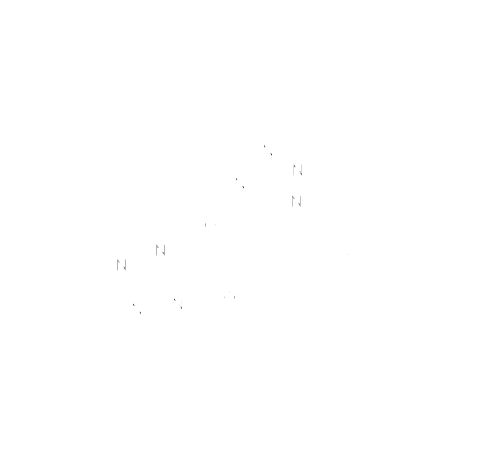 COC([O])(Cc1nnnn1C1CC1)c1nnnn1C